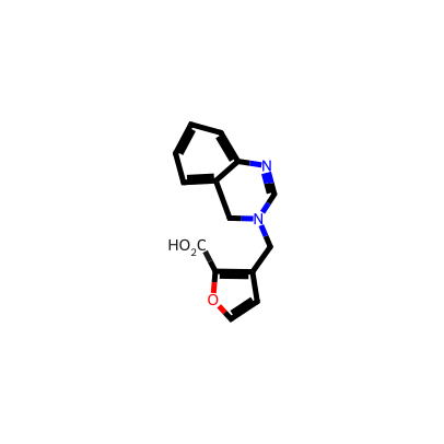 O=C(O)c1occc1CN1C=Nc2ccccc2C1